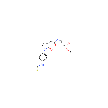 CCOC(=O)CC(C)NC(=O)CC1CCN(c2ccc(NC=S)cc2)C1=O